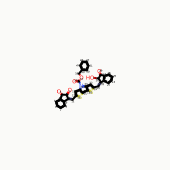 O=C1C(=O)c2ccccc2/C1=C/c1cc2c(s1)c1sc(/C=C3/c4ccccc4C(=O)C3O)cc1n2C(=O)OCc1ccccc1